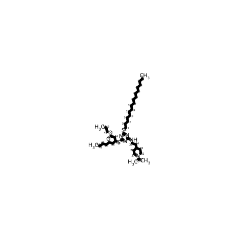 CCCCCCCCCCCCCCCCCCSc1nc(NCCC2CCN(C(C)C)CC2)nc(SC(CCCCCC)CC(=O)OCCC)n1